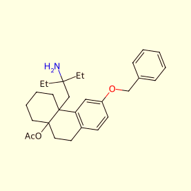 CCC(N)(CC)CC12CCCCC1(OC(C)=O)CCc1ccc(OCc3ccccc3)cc12